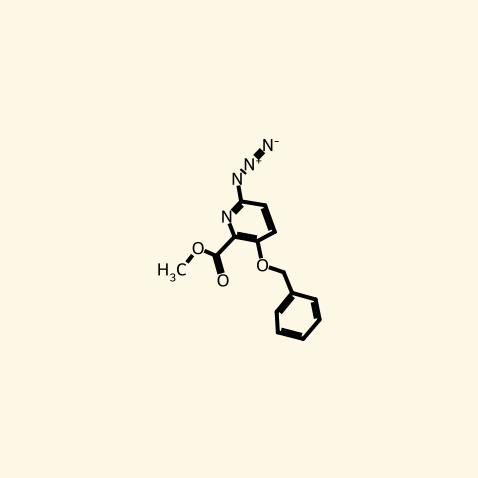 COC(=O)c1nc(N=[N+]=[N-])ccc1OCc1ccccc1